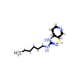 CCCCCCNC1=NSc2cnccc2N1